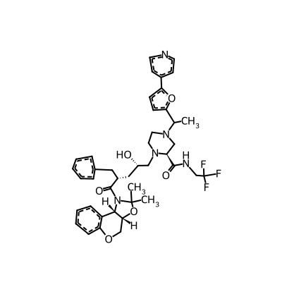 CC(c1ccc(-c2ccncc2)o1)N1CCN(C[C@@H](O)C[C@@H](Cc2ccccc2)C(=O)N2[C@H]3c4ccccc4OC[C@H]3OC2(C)C)[C@H](C(=O)NCC(F)(F)F)C1